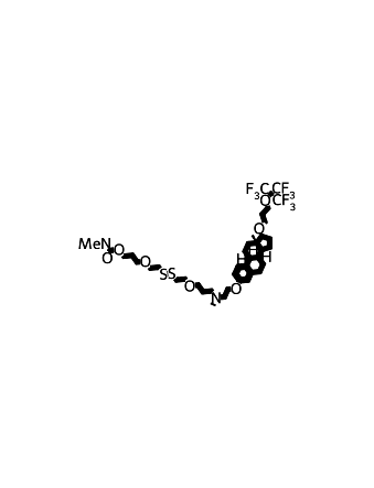 CNC(=O)OCCCOCCSSCCOCCCN(C)CCOc1ccc2c(c1)CC[C@@H]1[C@@H]2CC[C@]2(C)[C@@H](OCCCOC(C(F)(F)F)(C(F)(F)F)C(F)(F)F)CC[C@@H]12